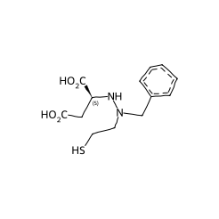 O=C(O)C[C@H](NN(CCS)Cc1ccccc1)C(=O)O